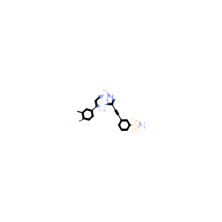 Cc1cc(-c2cc(C(F)(F)F)n3ncc(C#Cc4cccc(S(N)(=O)=O)c4)c3n2)ccc1Cl